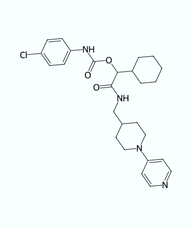 O=C(Nc1ccc(Cl)cc1)OC(C(=O)NCC1CCN(c2ccncc2)CC1)C1CCCCC1